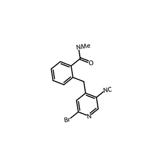 [C-]#[N+]c1cnc(Br)cc1Cc1ccccc1C(=O)NC